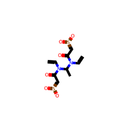 C=CN(C(=O)C=S(=O)=O)C(C)N(C=C)C(=O)C=S(=O)=O